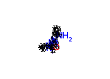 Cn1c(N2CCC3(CC2)Cc2ccccc2[C@H]3N)nc2c(c(I)nn2Cc2ccccc2)c1=O